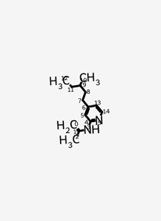 C=C(C)Nc1cc(CCC(C)CC)ccn1